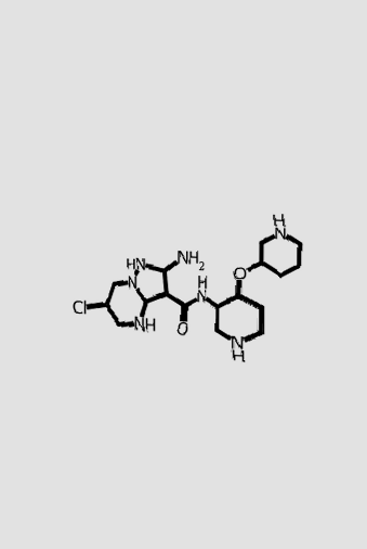 NC1NN2CC(Cl)CNC2C1C(=O)NC1CNCCC1OC1CCCNC1